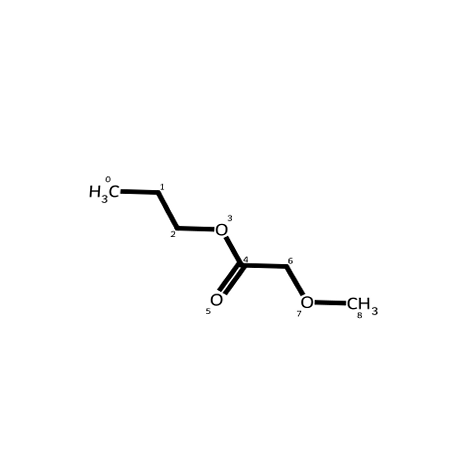 CCCOC(=O)COC